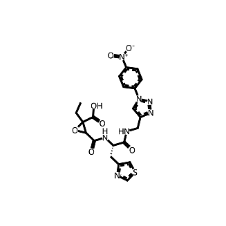 CCC1(C(=O)O)OC1C(=O)N[C@@H](Cc1cscn1)C(=O)NCc1cn(-c2ccc([N+](=O)[O-])cc2)nn1